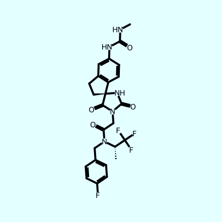 CNC(=O)Nc1ccc2c(c1)CC[C@]21NC(=O)N(CC(=O)N(Cc2ccc(F)cc2)[C@@H](C)C(F)(F)F)C1=O